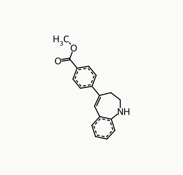 COC(=O)c1ccc(C2=Cc3ccccc3NCC2)cc1